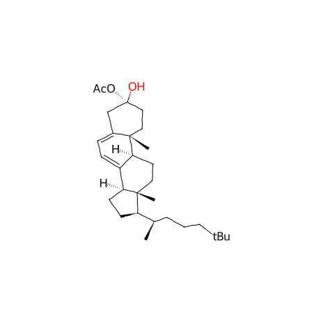 CC(=O)O[C@]1(O)CC[C@@]2(C)C(=CC=C3[C@@H]4CC[C@H]([C@H](C)CCCC(C)(C)C)[C@@]4(C)CC[C@@H]32)C1